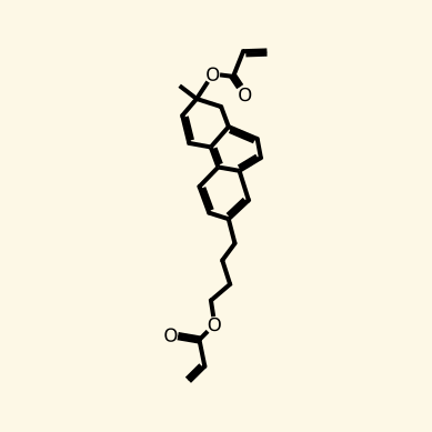 C=CC(=O)OCCCCc1ccc2c3c(ccc2c1)CC(C)(OC(=O)C=C)C=C3